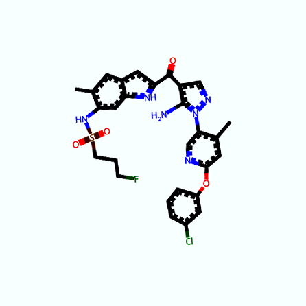 Cc1cc2cc(C(=O)c3cnn(-c4cnc(Oc5cccc(Cl)c5)cc4C)c3N)[nH]c2cc1NS(=O)(=O)CCCF